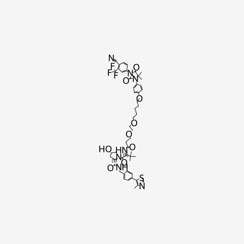 Cc1ncsc1-c1ccc(CNC(=O)[C@@H]2CC(O)CN2C(=O)[C@@H](NC(=O)CCOCCOCCCCCOc2ccc(N3C(=O)N(c4ccc(C#N)c(C(F)(F)F)c4)C(=O)C3(C)C)cc2)C(C)(C)C)cc1